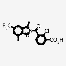 Cc1cc(C(F)(F)F)cc2c(C)n(C(=O)c3cccc(C(=O)O)c3Cl)nc12